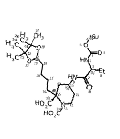 CC[C@H](NC(=O)OC(C)(C)C)C(=O)N[C@H]1CCN(C(=O)O)[C@@](CCCCB2OC(C)(C)C(C)(C)O2)(C(=O)O)C1